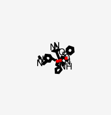 CN1C=CC23C(=CC4(CCCC4)NC12)N(c1ccc2c(cnn2C)c1)C(c1cnn(C)c1)C3S(=O)(=O)c1ccccc1